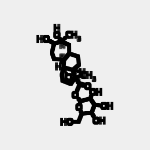 C[C@@]12CCC[C@@](C)(C(=O)OC3OC(CO)C(O)C(O)C3O)[C@H]1CCC1C[C@@](C)(O)C(O)CC[C@H]12